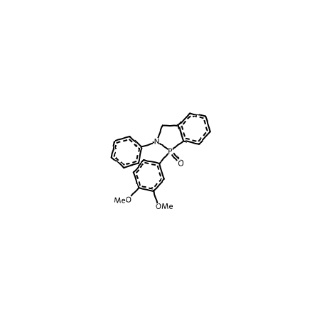 COc1ccc(P2(=O)c3ccccc3CN2c2ccccc2)cc1OC